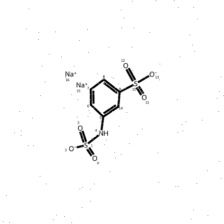 O=S(=O)([O-])Nc1cccc(S(=O)(=O)[O-])c1.[Na+].[Na+]